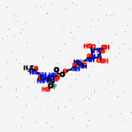 CCC(=O)NCCNC(=O)NC(=N)NCCC[C@@H](NC(=O)[C@H](c1ccccc1)c1cccc(OCCCCNC(=O)C[C@H]2NC(=O)[C@@H](CCCNC(=O)CN3CCN(CC(=O)O)CCN(CC(=O)O)CCN(CC(=O)O)CC3)NC2=O)c1)C(=O)NCc1c(F)cc(O)cc1F